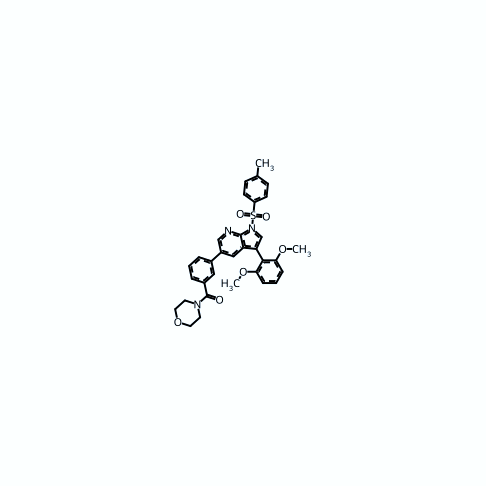 COc1cccc(OC)c1-c1cn(S(=O)(=O)c2ccc(C)cc2)c2ncc(-c3cccc(C(=O)N4CCOCC4)c3)cc12